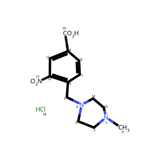 CN1CCN(Cc2ccc(C(=O)O)cc2[N+](=O)[O-])CC1.Cl